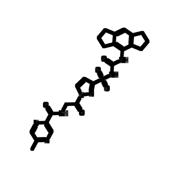 Cc1cnc(C(=O)NCC(=O)n2ccc(S(=O)(=O)NC(=O)Nc3c4c(cc5c3CCC5)CCC4)n2)cn1